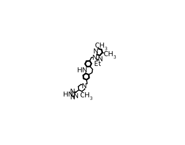 CCc1nc2c(C)cc(C)nc2n1Cc1ccc2c(c1)CCc1cc(CN3CCC(c4nn[nH]n4)C(C)C3)ccc1N2